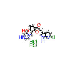 Cl.Cl.Cl.O=C1C(=Cc2c[nH]c3nc(Cl)ccc23)Oc2c1ccc(O)c2CN1CCNCC1